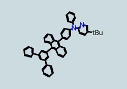 CC(C)(C)c1ccc(N(c2ccccc2)c2ccc(-c3c4ccccc4c(-c4cc(-c5ccccc5)cc(-c5ccccc5)c4)c4ccccc34)cc2)nc1